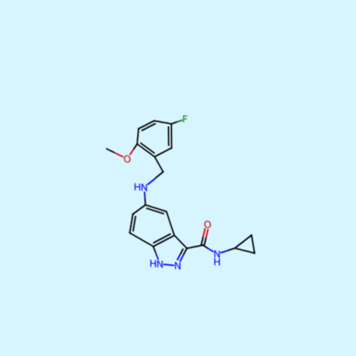 COc1ccc(F)cc1CNc1ccc2[nH]nc(C(=O)NC3CC3)c2c1